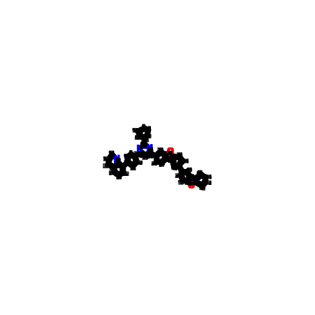 c1ccc(-c2nc(-c3ccc(-c4cccc5cccnc45)cc3)cc(-c3ccc4c(c3)oc3ccc(-c5ccc6oc7ccccc7c6c5)cc34)n2)cc1